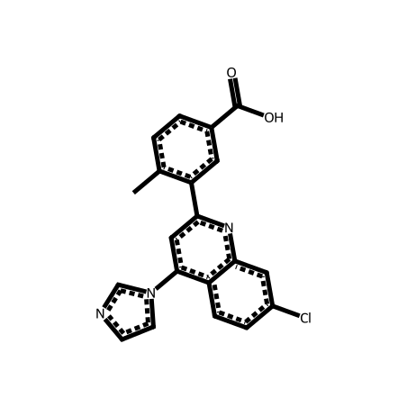 Cc1ccc(C(=O)O)cc1-c1cc(-n2ccnc2)c2ccc(Cl)cc2n1